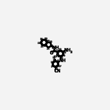 N#Cc1ccc(F)c(Nc2cc(N)cc(C(=O)NC3Cc4ccccc4C3)n2)c1